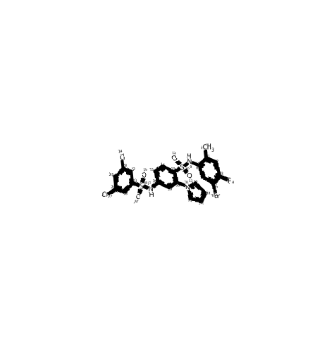 Cc1cc(F)c(Br)cc1NS(=O)(=O)c1ccc(NS(=O)(=O)c2cc(Cl)cc(Cl)c2)cc1-n1cccc1